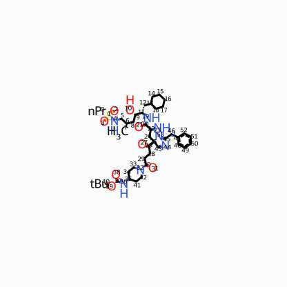 CCCS(=O)(=O)NC[C@H](C)C[C@H](O)[C@H](CC1CCCCC1)NC(=O)C(N)CC1(C(=O)CCC(=O)N2CCC(NC(=O)OC(C)(C)C)CC2)C=NC(Cc2ccccc2)=N1